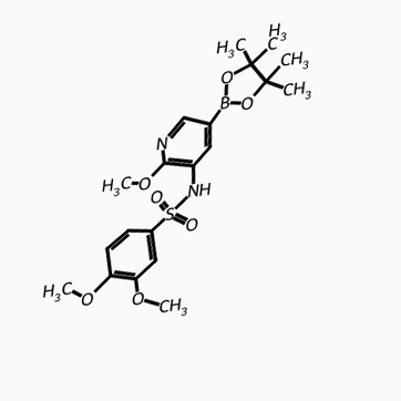 COc1ccc(S(=O)(=O)Nc2cc(B3OC(C)(C)C(C)(C)O3)cnc2OC)cc1OC